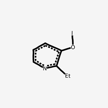 CCc1ncccc1OI